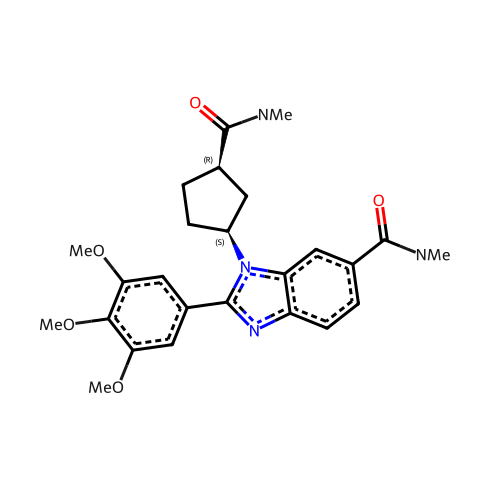 CNC(=O)c1ccc2nc(-c3cc(OC)c(OC)c(OC)c3)n([C@H]3CC[C@@H](C(=O)NC)C3)c2c1